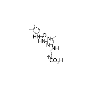 Cc1cc(NCCN(C)C(=O)O)nc(NC(=O)Nc2ccc(C)c(C)c2)n1